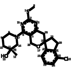 CSc1nc2c(c(N3CCC[C@@](C)(O)C3)n1)COC1(CCc3c(Cl)cccc31)C2